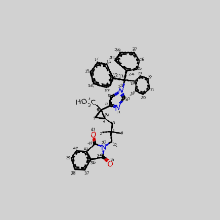 CC(C)(C[C@H]1C[C@]1(C(=O)O)c1cn(C(c2ccccc2)(c2ccccc2)c2ccccc2)cn1)CN1C(=O)c2ccccc2C1=O